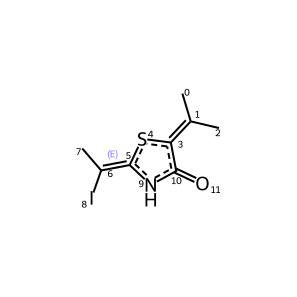 CC(C)=c1s/c(=C(\C)I)[nH]c1=O